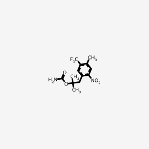 Cc1cc([N+](=O)[O-])c(CC(C)(C)OC(N)=O)cc1C(F)(F)F